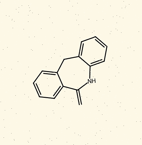 C=C1Nc2ccccc2Cc2ccccc21